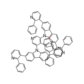 c1ccc(-c2cccc(-c3c(-n4c5cc(-c6cccnc6-c6ccccc6)ccc5c5ccc(-c6cccnc6-c6ccccc6)cc54)cncc3-n3c4cc(-c5cccnc5-c5ccccc5)ccc4c4ccc(-c5cccnc5-c5ccccc5)cc43)c2)cc1